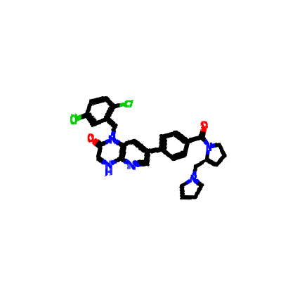 O=C1CNc2ncc(-c3ccc(C(=O)N4CCC[C@H]4CN4CCCC4)cc3)cc2N1Cc1cc(Cl)ccc1Cl